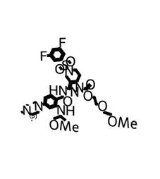 COCCOCCOC(=O)n1nc(NC(=O)c2ccc(N(C)C[C@H](C)N(C)C)cc2NC(C)COC)c2c1CCN(S(=O)(=O)c1cc(F)cc(F)c1)C2